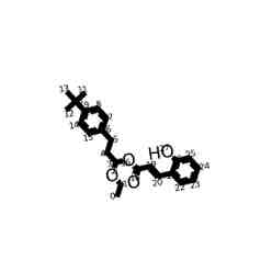 CCOC(CCc1ccc(C(C)(C)C)cc1)OC(=O)C=Cc1ccccc1O